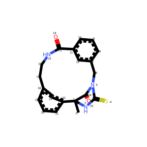 CC12NC(=S)N(Cc3cccc(c3)C(=O)NCCc3cccc1c3)C2=O